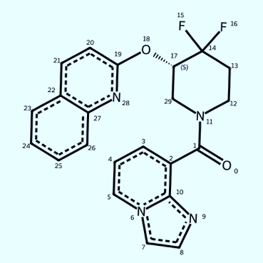 O=C(c1cccn2ccnc12)N1CCC(F)(F)[C@@H](Oc2ccc3ccccc3n2)C1